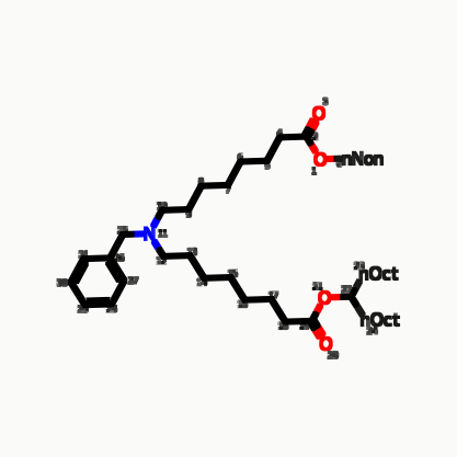 CCCCCCCCCOC(=O)CCCCCCCN(CCCCCCCC(=O)OC(CCCCCCCC)CCCCCCCC)Cc1ccccc1